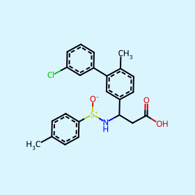 Cc1ccc([S+]([O-])NC(CC(=O)O)c2ccc(C)c(-c3cccc(Cl)c3)c2)cc1